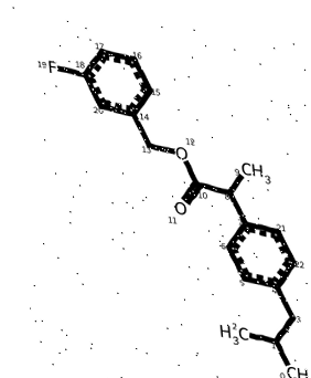 CC(C)Cc1ccc(C(C)C(=O)OCc2cccc(F)c2)cc1